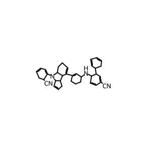 N#CC1=CC(C2C=CC=CC2)C(NC2C=C(C3=CCCC4C3C3CC=CC3N4C3=CC=CCC3C#N)CCC2)C=C1